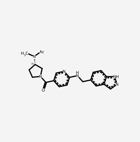 CC(=O)N(C)[C@H]1CCN(C(=O)c2ccc(NCc3ccc4[nH]ncc4c3)nc2)C1